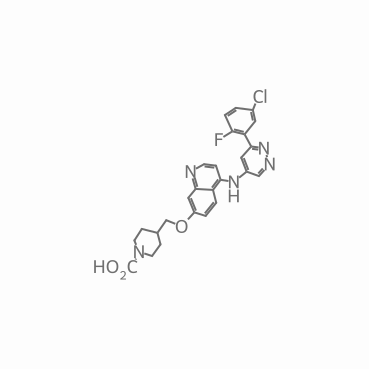 O=C(O)N1CCC(COc2ccc3c(Nc4cnnc(-c5cc(Cl)ccc5F)c4)ccnc3c2)CC1